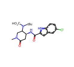 CN1CC(N(C(=O)O)C(C)(C)C)[C@@H](NC(=O)c2cc3cc(Cl)ccc3[nH]2)CC1=O